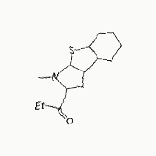 CCC(=O)C1CC2C3CCCCC3SC2N1C